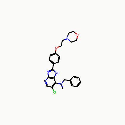 CN(Cc1ccccc1)c1c(Cl)cnc2nc(-c3ccc(OCCN4CCOCC4)cc3)[nH]c12